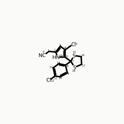 N#CCc1cc(Cl)c(C2(c3ccc(Cl)cc3)SCCS2)[nH]1